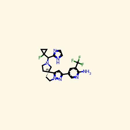 Nc1ncc(-c2cc3n(n2)CC[C@@]32CCN(C(c3ncc[nH]3)C3(F)CC3)C2)cc1C(F)(F)F